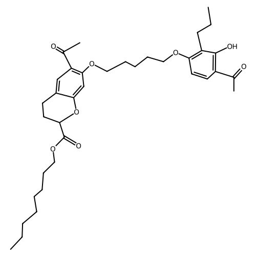 CCCCCCCCOC(=O)C1CCc2cc(C(C)=O)c(OCCCCCOc3ccc(C(C)=O)c(O)c3CCC)cc2O1